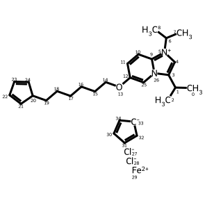 CC(C)c1c[n+](C(C)C)c2ccc(OCCCCCCC3C=CC=C3)cn12.[Cl-].[Cl-].[Fe+2].c1cc[cH-]c1